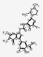 C[C@H]1CN(C)CCN1c1cc(NC(=O)Cn2cc(-c3cc(Cl)c(O)c(C(N)=O)c3)c3c(=O)n(C)c(C(F)(F)F)nc32)c(Cl)c(F)n1